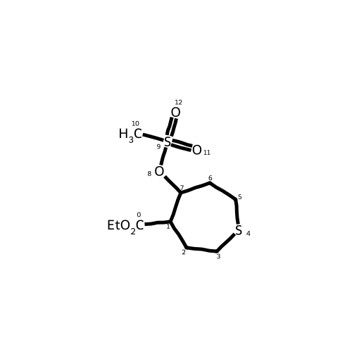 CCOC(=O)C1CCSCCC1OS(C)(=O)=O